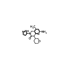 Cc1cc(N)nc2c1CN(c1ccn[nH]1)C(=O)C2C1CCCOC1